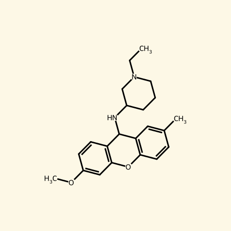 CCN1CCCC(NC2c3ccc(OC)cc3Oc3ccc(C)cc32)C1